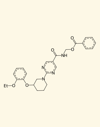 CCOc1ccccc1OC1CCCN(c2ncc(C(=O)NCOC(=O)c3ccccc3)cn2)C1